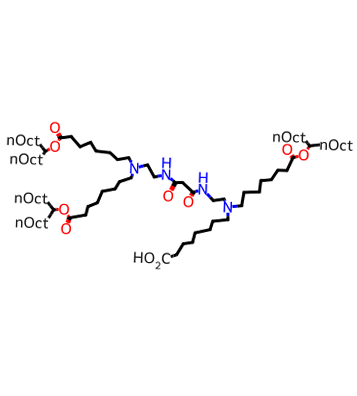 CCCCCCCCC(CCCCCCCC)OC(=O)CCCCCCCN(CCCCCCCC(=O)O)CCNC(=O)CC(=O)NCCN(CCCCCCCC(=O)OC(CCCCCCCC)CCCCCCCC)CCCCCCCC(=O)OC(CCCCCCCC)CCCCCCCC